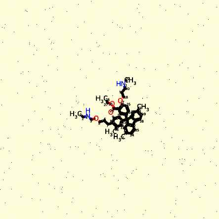 CCNCOCCCc1ccc(C2(c3ccc(OCCCNC)c(C(=O)OCC)c3)c3cc(C)ccc3-c3ccc(C)cc32)cc1C